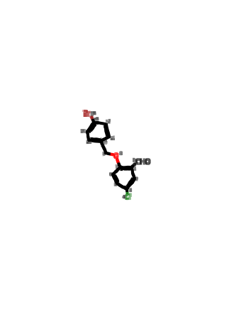 O=Cc1cc(Cl)ccc1OCc1ccc(Br)cc1